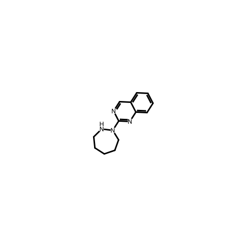 c1ccc2nc(N3CCCCCN3)ncc2c1